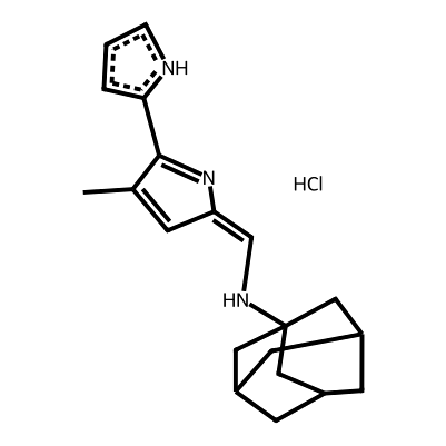 CC1=CC(=CNC23CC4CC(CC(C4)C2)C3)N=C1c1ccc[nH]1.Cl